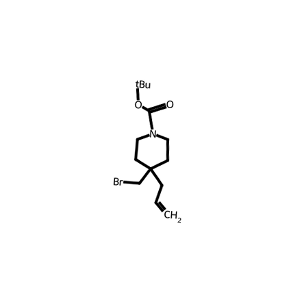 C=CCC1(CBr)CCN(C(=O)OC(C)(C)C)CC1